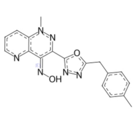 Cc1ccc(Cc2nnc(-c3nn(C)c4cccnc4/c3=N/O)o2)cc1